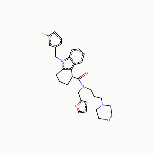 O=C(C1CCCc2c1c1ccccc1n2Cc1cccc(F)c1)N(CCCN1CCOCC1)Cc1ccco1